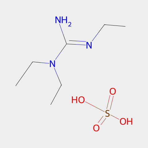 CC/N=C(\N)N(CC)CC.O=S(=O)(O)O